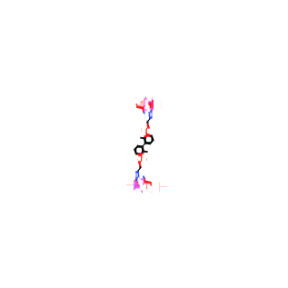 Cc1c(OCCCN(CC#N)CC(O)CO)cccc1-c1cccc(OCCCN(CC#N)CC(O)CO)c1C